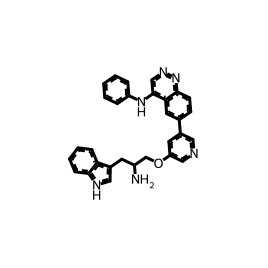 NC(COc1cncc(-c2ccc3nncc(Nc4ccccc4)c3c2)c1)Cc1c[nH]c2ccccc12